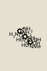 CN[C@@H]1[C@@H](O)[C@@H](O[C@H]2[C@H](N)C[C@H](N)C(O[C@H]3O[C@H](CN)CC[C@H]3N)[C@@H]2O)O[C@H](CO)[C@H]1O